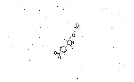 Cc1nn(COCC[SH](C)(C)(C)C)c(C)c1-c1ccc([N+](=O)[O-])cc1